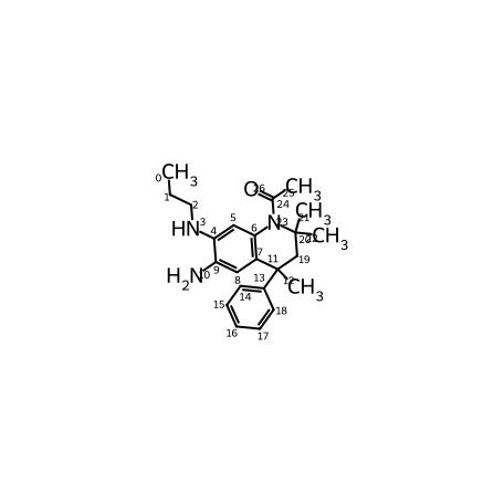 CCCNc1cc2c(cc1N)C(C)(c1ccccc1)CC(C)(C)N2C(C)=O